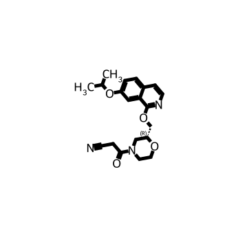 CC(C)Oc1ccc2ccnc(OC[C@H]3CN(C(=O)CC#N)CCO3)c2c1